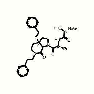 CN[C@@H](C)C(=O)N[C@H](C(=O)N1CC[C@@]2(OCc3ccccc3)CCN(CCc3ccccc3)C(=O)C12)C(C)C